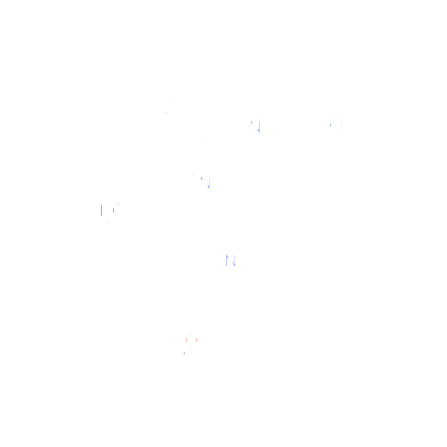 C=CC12COCCN1c1cc(Cl)nc(=O)n1C2